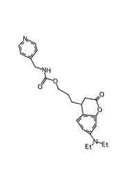 CCN(CC)c1ccc2c(c1)OC(=O)CC2CCCOC(=O)NCc1ccncc1